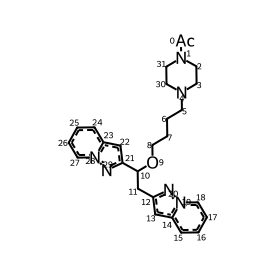 CC(=O)N1CCN(CCCCOC(Cc2cc3ccccn3n2)c2cc3ccccn3n2)CC1